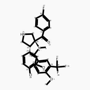 COc1ccc(C(=O)N(C)[C@]2(C(=O)c3ccc(F)cc3)CNC[C@H]2c2ccc(Cl)c(Cl)c2)cc1C(F)(F)F